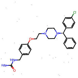 [NH]C(=O)NCc1ccc(OCCN2CCN([C@H](c3ccccc3)c3ccc(Cl)cc3)CC2)cc1